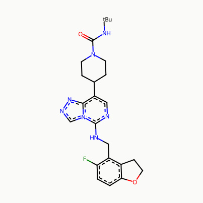 CC(C)(C)NC(=O)N1CCC(c2cnc(NCc3c(F)ccc4c3CCO4)n3cnnc23)CC1